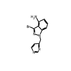 Nc1cccc2c1c(Br)nn2Cc1ccncn1